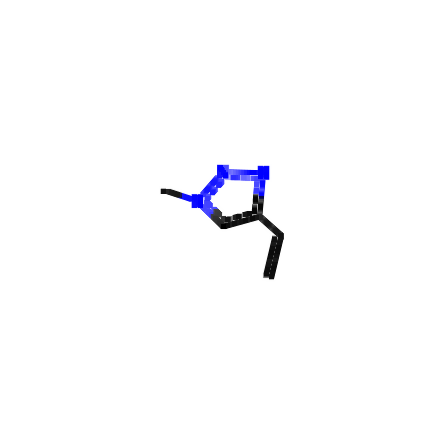 [CH2]n1cc(C=C)nn1